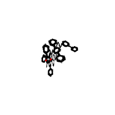 c1ccc(-c2cccc(-n3c4ccccc4c4c(-n5c6ccccc6c6ccccc65)c5c(cc43)c3ccccc3n5-c3nc(-c4ccccc4)nc(-c4ccccc4)n3)c2)cc1